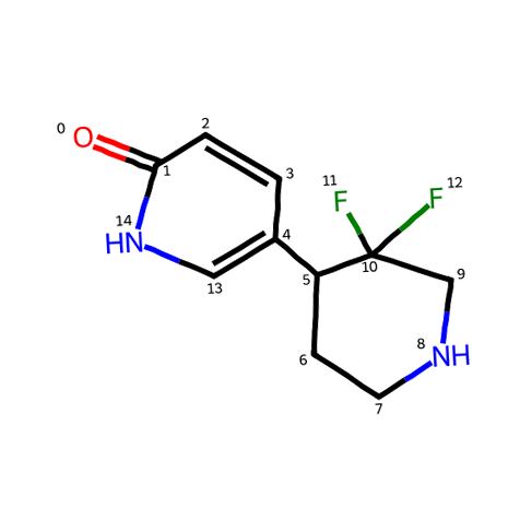 O=c1ccc(C2CCNCC2(F)F)c[nH]1